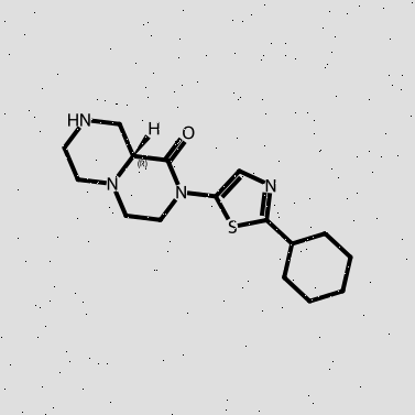 O=C1[C@H]2CNCCN2CCN1c1cnc(C2CCCCC2)s1